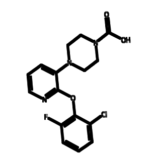 O=C(O)N1CCN(c2cccnc2Oc2c(F)cccc2Cl)CC1